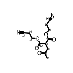 CC(=O)CC(C(=O)OCCC#N)C(=O)OCCC#N